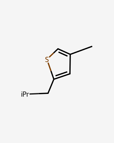 Cc1csc(CC(C)C)c1